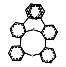 c1ccc(-c2cccc3c2Sc2c(-c4ccccc4)cccc2-c2ccccc2Sc2ccccc2-3)cc1